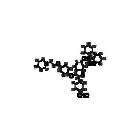 CC(C)(C)[Si](Oc1ccc2c(Oc3ccc(OCCN4CCCCC4)cc3)c(-c3ccc(C=O)cc3)sc2c1)(c1ccccc1)c1ccccc1